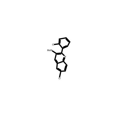 CNc1cc2cc(Cl)ccc2nc1-c1ccccc1Cl